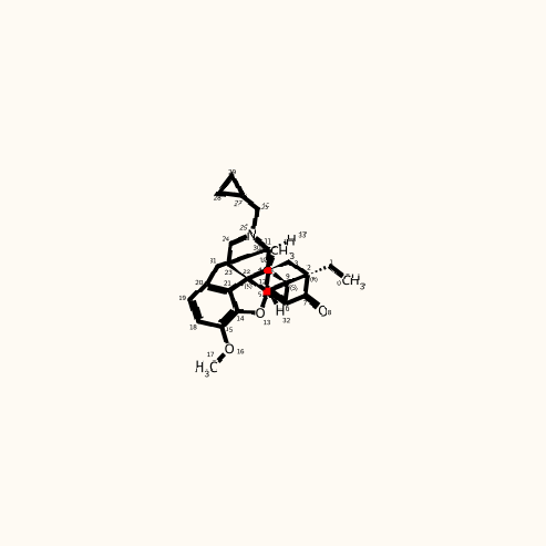 CC[C@]12C[C@@]34C=C(C1=O)[C@]2(OC)[C@@H]1Oc2c(OC)ccc5c2[C@@]13CCN(CC1CC1)[C@@H]4C5